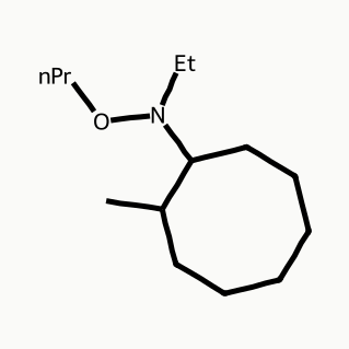 CCCON(CC)C1CCCCCCC1C